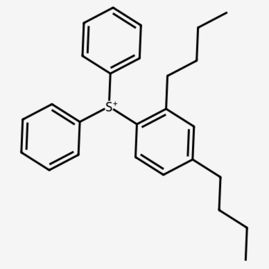 CCCCc1ccc([S+](c2ccccc2)c2ccccc2)c(CCCC)c1